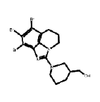 OCC1CCCN(c2nc3c(Br)c(Br)c(Br)c4c3n2CCC4)C1